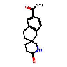 CNC(=O)c1ccc2c(c1)CCC1(CCC(=O)NC1)C2